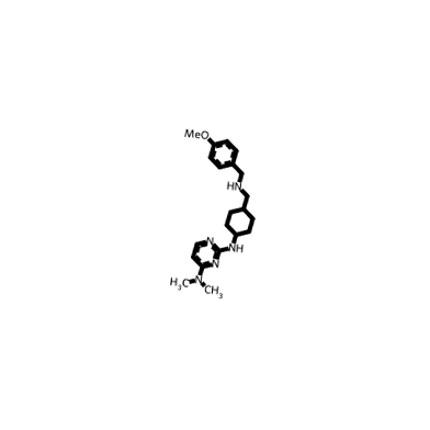 COc1ccc(CNCC2CCC(Nc3nccc(N(C)C)n3)CC2)cc1